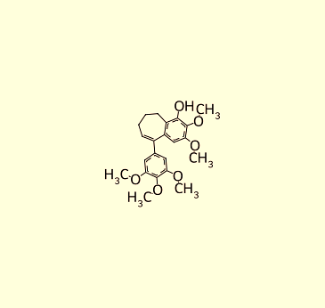 COc1cc(C2=CCCCc3c2cc(OC)c(OC)c3O)cc(OC)c1OC